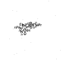 CCCN1CC2=C(C(=O)NC2c2cc(S(=O)(=O)N3CCN(C(C)C)CC3)ccc2OCC)N(C)C1